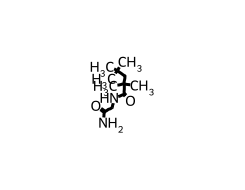 CC(C)(C)CC(C)(C)C(=O)NCC(N)=O